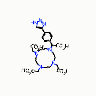 O=C(O)CN1CCN(CC(=O)O)CCN(C(C(=O)O)c2ccc(-c3c[nH]nn3)cc2)CCN(CC(=O)O)CC1